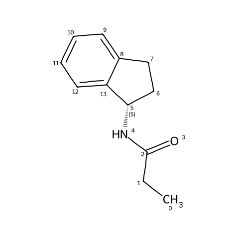 CCC(=O)N[C@H]1CCc2ccccc21